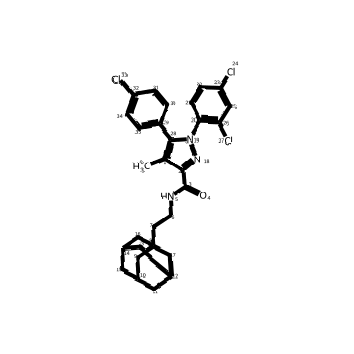 Cc1c(C(=O)NCCC23CC4CC(CC(C4)C2)C3)nn(-c2ccc(Cl)cc2Cl)c1-c1ccc(Cl)cc1